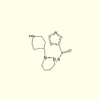 C1CCN(C2CCNCC2)CC1.NC(=O)c1cncs1